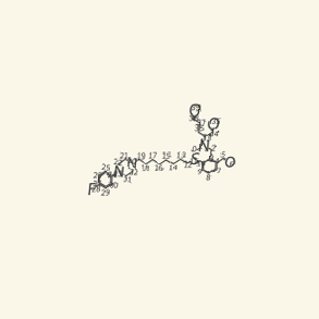 CN(Cc1c(C=O)cccc1SCCCCCCCCN1CCN(c2ccc(F)cc2)CC1)C(C=O)CCC=O